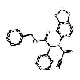 C#CC(=O)N(c1ccc2c(c1)OCO2)C(C(=O)NCc1ccccc1)c1ccccc1